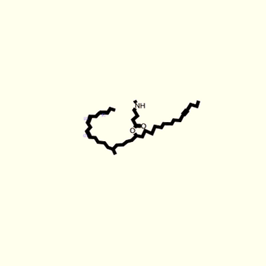 CC/C=C/C/C=C\C/C=C\CCCCC(C)CCCCC(CCCCCCCCCC#CCCC)OC(=O)CCCNC